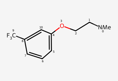 CNCCOc1cccc(C(F)(F)F)c1